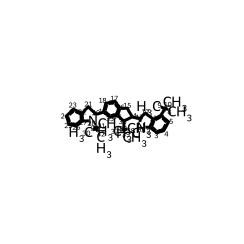 CN1c2cccc(C(C)(C)C)c2CC1C1Cc2ccc(C3Cc4ccccc4N3C(C)(C)C)cc2C1C(C)(C)C